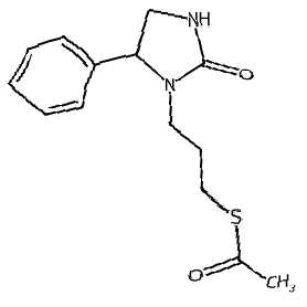 CC(=O)SCCCN1C(=O)NCC1c1ccccc1